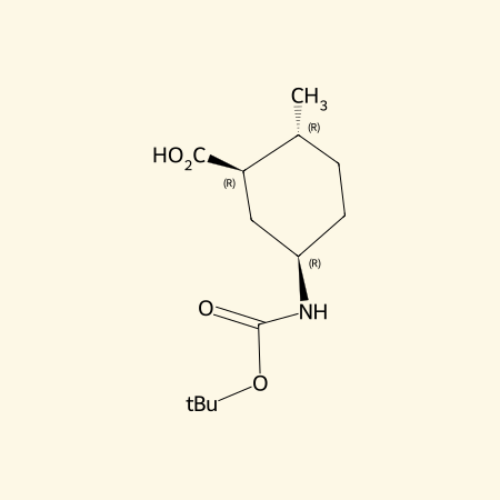 C[C@@H]1CC[C@@H](NC(=O)OC(C)(C)C)C[C@H]1C(=O)O